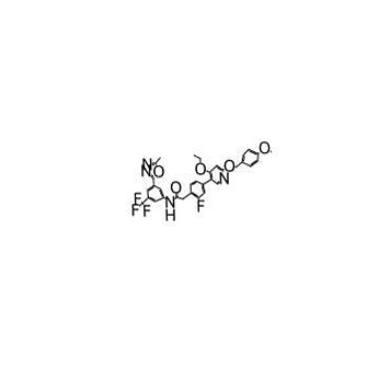 CCOc1cc(OCc2ccc(OC)cc2)ncc1-c1ccc(CC(=O)Nc2cc(-c3nnc(C)o3)cc(C(F)(F)F)c2)c(F)c1